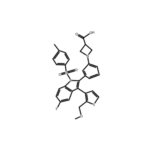 COCc1sccc1-c1c(-c2cccc(N3CC(C(=O)O)C3)c2)n(S(=O)(=O)c2ccc(C)cc2)c2ccc(F)cc12